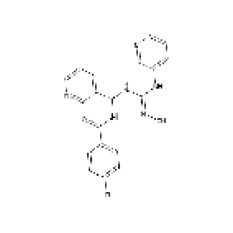 N#C/N=C(\Nc1cccnc1)NC(NC(=O)c1ccc(Cl)cc1)c1cccnc1